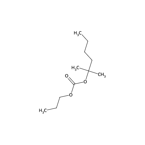 CCCCC(C)(C)OC(=O)OCCC